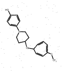 Oc1ccc(N2CCC(OC3C=CC=C(OC(F)(F)F)C=C3)CC2)cc1